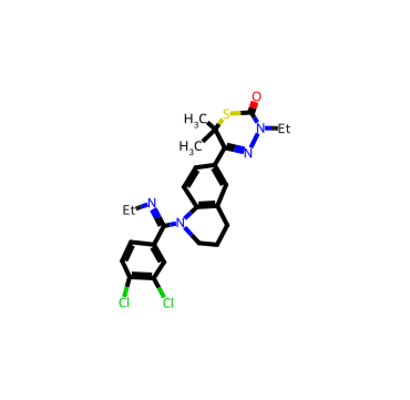 CCN=C(c1ccc(Cl)c(Cl)c1)N1CCCc2cc(C3=NN(CC)C(=O)SC3(C)C)ccc21